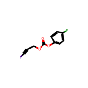 O=C(OCC#CI)Oc1ccc(F)cc1